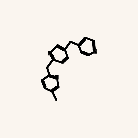 Cc1ccc(Cc2ccc(Cc3ccncc3)cn2)nc1